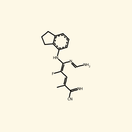 C\C(=C/C(F)=C(\N=C\N)Nc1cccc2c1CCC2)C(=N)C#N